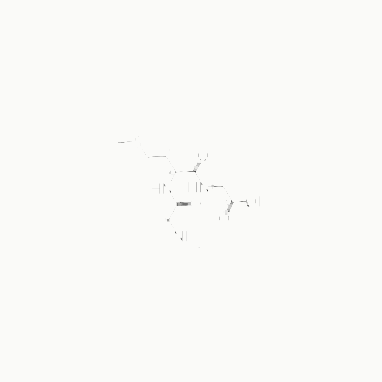 CSCCC(NC(=O)CN)C(=O)NCC(=O)O